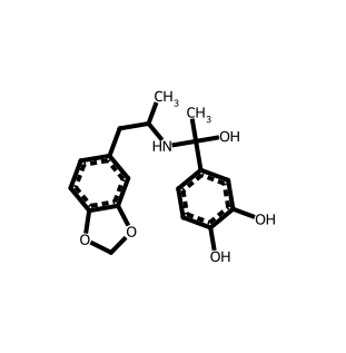 CC(Cc1ccc2c(c1)OCO2)NC(C)(O)c1ccc(O)c(O)c1